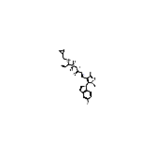 C=CC(NCC1CC1)S(=O)(=O)NC(=O)/C=C/c1c(C)nn(C)c1-n1ccc2cc(F)ccc21